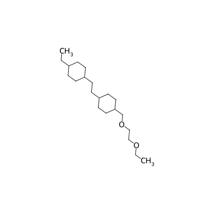 CCOCCOCC1CCC(CCC2CCC(CC)CC2)CC1